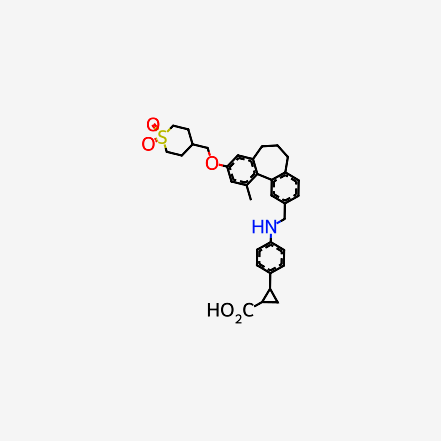 Cc1cc(OCC2CCS(=O)(=O)CC2)cc2c1-c1cc(CNc3ccc(C4CC4C(=O)O)cc3)ccc1CCC2